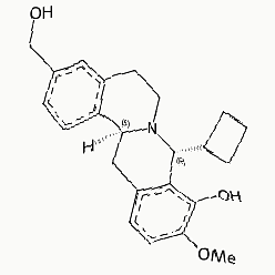 COc1ccc2c(c1O)[C@@H](C1CCC1)N1CCc3cc(CO)ccc3[C@@H]1C2